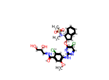 COc1cc(C(=O)NC[C@@H](O)CO)c(Cl)cc1Nc1ncc(Cl)c(O[C@@H]2Cc3ccccc3[C@H]2N(C)S(C)(=O)=O)n1